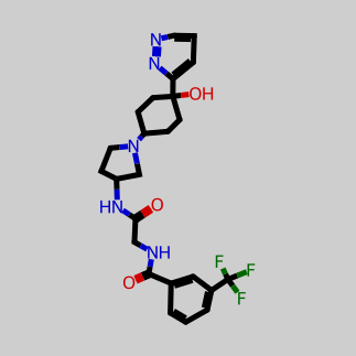 O=C(CNC(=O)c1cccc(C(F)(F)F)c1)NC1CCN(C2CCC(O)(c3cccnn3)CC2)C1